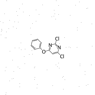 Clc1cc(Oc2ccccc2)nc(Cl)n1